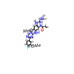 C=CC(=O)Nc1cc(Nc2ncnc(-c3ccc(F)c(OC)c3)n2)c(OC)cc1N(C)CCN(C)C